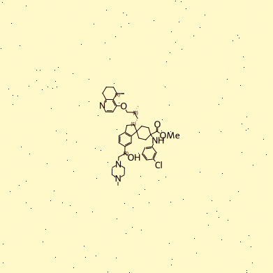 COC(=O)C1(Nc2cccc(Cl)c2)CCC2(CC1)c1cc([C@@H](O)CN3CCN(C)CC3)ccc1C[C@@H]2C[C@@H](C)COc1ccnc2c1[C@H](C)CCC2